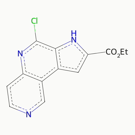 CCOC(=O)c1cc2c([nH]1)c(Cl)nc1ccncc12